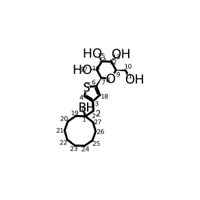 BC1(Cc2csc([C@@H]3O[C@H](CO)[C@@H](O)[C@H](O)[C@H]3O)c2)CCCCCCCCC1